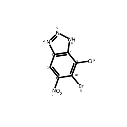 O=[N+]([O-])c1cc2nn[nH]c2c(Cl)c1Br